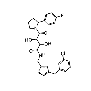 O=C(NCc1cc(Cc2cccc(Cl)c2)cs1)[C@H](O)[C@@H](O)C(=O)N1CCCC1c1ccc(F)cc1